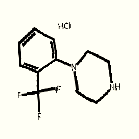 Cl.FC(F)(F)c1ccccc1N1CCNCC1